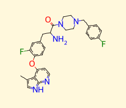 Cc1c[nH]c2nccc(Oc3ccc(CC(N)C(=O)N4CCN(Cc5ccc(F)cc5)CC4)cc3F)c12